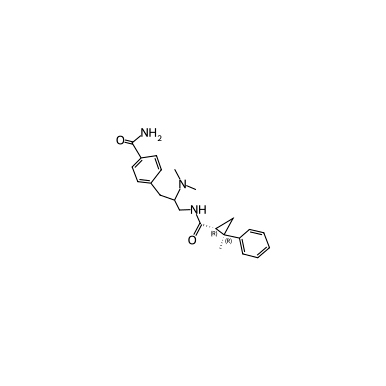 CN(C)C(CNC(=O)[C@@H]1C[C@@]1(C)c1ccccc1)Cc1ccc(C(N)=O)cc1